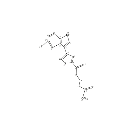 COC(=O)CCCC(=O)c1cc(-c2c[nH]c3ccc(F)cc23)cs1